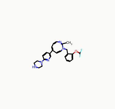 Cc1ncccc(-c2ccc(N3CCNCC3)nc2)ccn1Cc1ccccc1OC(F)F